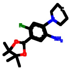 CC1(C)OB(c2cc(N)c(N3CCCCC3)cc2F)OC1(C)C